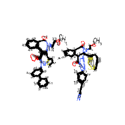 COCCN1C(=O)c2ccccc2C(C(=O)Nc2ccc(C#N)cc2)C1c1cccs1.COCCN1C(=O)c2ccccc2C(C(=O)Nc2cccc(-c3ccccc3)c2)C1c1cccs1